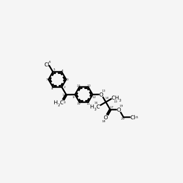 C=C(c1ccc(Cl)cc1)c1ccc(OC(C)(C)C(=O)OCCl)cc1